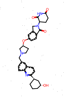 O=C1CCC(N2Cc3cc(O[C@H]4CCN(Cc5ccc6nc([C@@H]7CCC[C@@H](O)C7)ccc6c5)C4)ccc3C2=O)C(=O)N1